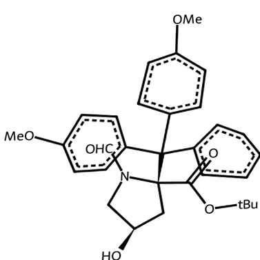 COc1ccc(C(c2ccccc2)(c2ccc(OC)cc2)[C@@]2(C(=O)OC(C)(C)C)C[C@@H](O)CN2C=O)cc1